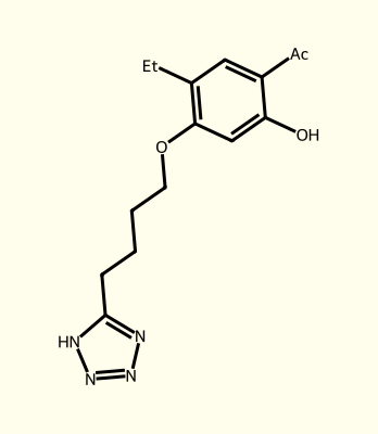 CCc1cc(C(C)=O)c(O)cc1OCCCCc1nnn[nH]1